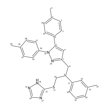 Cc1ccc(-c2cc(CC(CSc3ncn[nH]3)c3cccc(C)c3)nn2-c2ccc(C)cc2)cc1